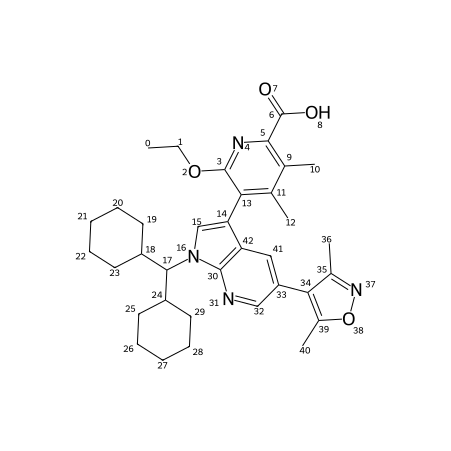 CCOc1nc(C(=O)O)c(C)c(C)c1-c1cn(C(C2CCCCC2)C2CCCCC2)c2ncc(-c3c(C)noc3C)cc12